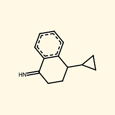 N=C1CCC(C2CC2)c2ccccc21